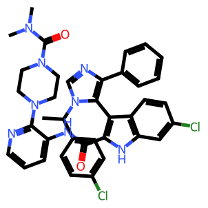 CC(c1ccc(Cl)cc1)n1cnc(-c2ccccc2)c1-c1c(C(=O)Nc2cccnc2N2CCN(C(=O)N(C)C)CC2)[nH]c2cc(Cl)ccc12